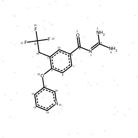 NC(N)=NC(=O)c1ccc(Oc2cccnc2)c(CC(F)(F)F)c1